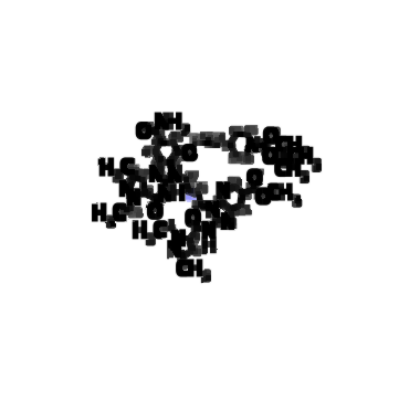 CCn1nc(C)cc1C(=O)Nc1nc2cc(C(=O)OC)cnc2n1C/C=C/Cn1c(NC(=O)c2cc(C)nn2CC)nc2cc(C(N)=O)cc(OCC#CC3CCN(C(=O)OC(C)(C)C)CC3)c21